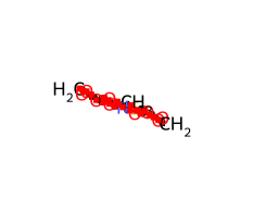 C=CC(=O)OCCCCOc1ccc(C(=O)Oc2ccc(/C=N/c3ccc(SC(=O)c4ccc(OCCCCOC(=O)C=C)cc4)cc3C)cc2)cc1